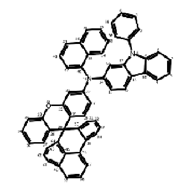 c1ccc(-n2c3ccccc3c3ccc(N(c4ccc5c(c4)Oc4ccccc4C54c5ccccc5-c5cccc6cccc4c56)c4cccc5ccccc45)cc32)cc1